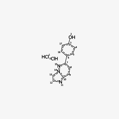 Cl.Cl.Oc1ccc(-c2ccc3nccn3n2)cc1